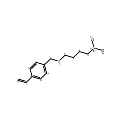 C=Cc1ccc(COCCCC[SiH](Cl)Cl)cc1